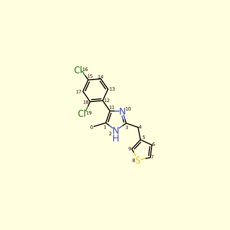 Cc1[nH]c(Cc2ccsc2)nc1-c1ccc(Cl)cc1Cl